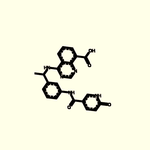 CC(Nc1ncnc2c(C(=O)O)cccc12)c1cccc(NC(=O)c2ccc(=O)[nH]c2)c1